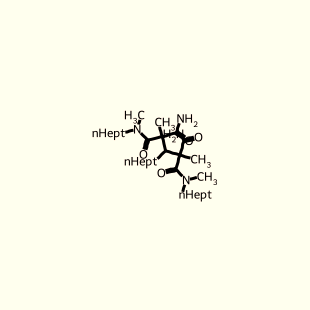 CCCCCCCC(C(C)(C(N)=O)C(=O)N(C)CCCCCCC)C(C)(C(N)=O)C(=O)N(C)CCCCCCC